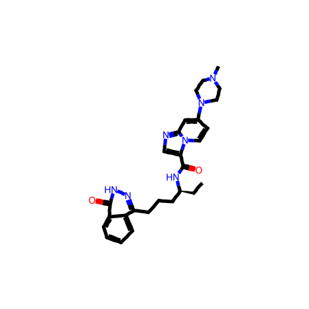 CC[C@@H](CCCc1n[nH]c(=O)c2ccccc12)NC(=O)c1cnc2cc(N3CCN(C)CC3)ccn12